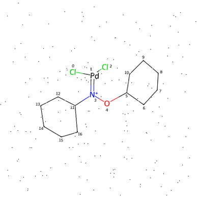 [Cl][Pd]([Cl])=[N+](OC1CCCCC1)C1CCCCC1